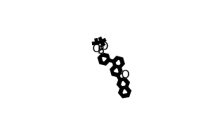 CC1(C)OB(c2cccc(-c3cccc4c3ccc3c5cc6ccccc6cc5oc43)c2)OC1(C)C